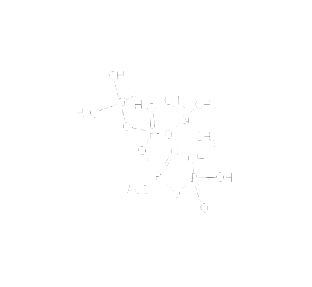 CC(=O)OP(=O)(OP(=O)(O)O)OP(=O)(O[Si](C)(C)C)O[Si](C)(C)C